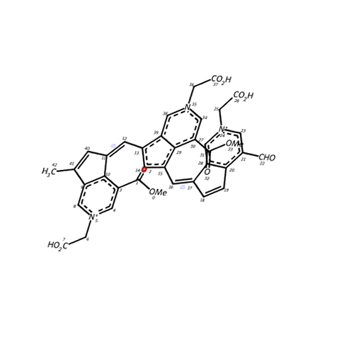 COC(=O)c1c[n+](CC(=O)O)cc2c1/C(=C\c1cc(/C=C3/C=Cc4c(C=O)c[n+](CC(=O)O)cc43)c3c(C(=O)OC)cn(CC(=O)O)cc1-3)C=C2C